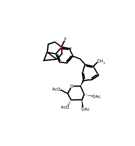 CC(=O)OC1O[C@@H](c2ccc(C)c(Cc3ccc(C45CCC(F)(F)CC4C5)cc3)c2)[C@H](OC(C)=O)[C@@H](OC(C)=O)[C@@H]1OC(C)=O